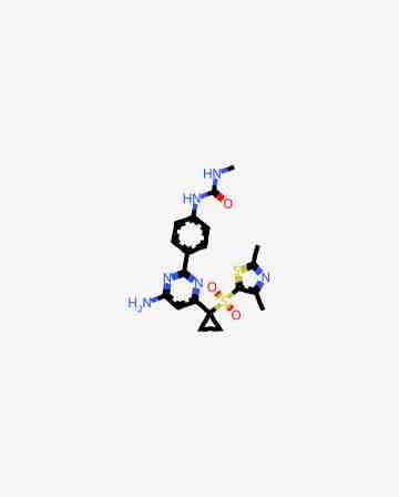 CNC(=O)Nc1ccc(-c2nc(N)cc(C3(S(=O)(=O)c4sc(C)nc4C)CC3)n2)cc1